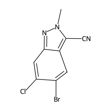 Cn1nc2cc(Cl)c(Br)cc2c1C#N